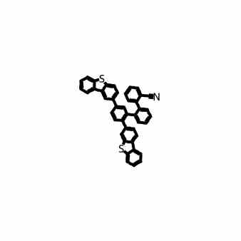 N#Cc1ccccc1-c1ccccc1-c1cc(-c2ccc3sc4ccccc4c3c2)ccc1-c1ccc2c(c1)sc1ccccc12